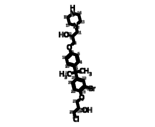 CC(C)(c1ccc(OC[C@@H](O)CN2CCNCC2)cc1)c1ccc(OC[C@H](O)CCl)c(Br)c1